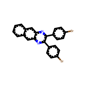 Brc1ccc(-c2nc3cc4ccccc4cc3nc2-c2ccc(Br)cc2)cc1